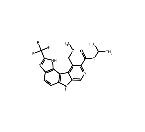 COCc1c(C(=O)OC(C)C)ncc2[nH]c3ccc4nc(C(F)(F)F)[nH]c4c3c12